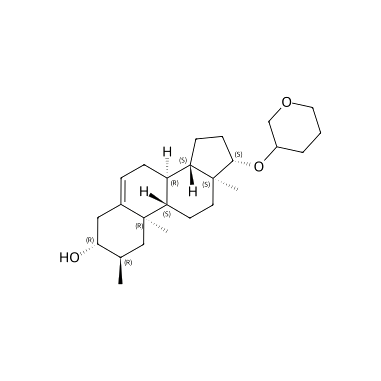 C[C@@H]1C[C@@]2(C)C(=CC[C@H]3[C@@H]4CC[C@H](OC5CCCOC5)[C@@]4(C)CC[C@@H]32)C[C@H]1O